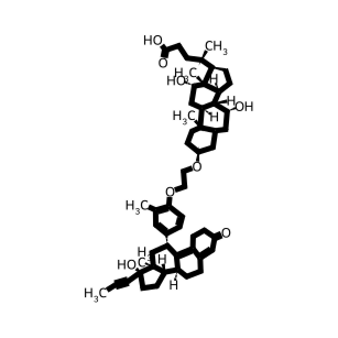 CC#C[C@@]1(O)CC[C@H]2[C@@H]3CCC4=CC(=O)CCC4=C3[C@@H](c3ccc(OCCO[C@H]4CC[C@@]5(C)C(C4)C[C@@H](O)[C@H]4[C@@H]6CC[C@H]([C@H](C)CCC(=O)O)[C@@]6(C)[C@@H](O)C[C@@H]45)c(C)c3)C[C@@]21C